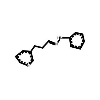 C(CCc1cccnc1)=NNc1ccccc1